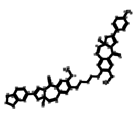 COc1cc2c(cc1OCCCOc1cc3c(cc1OC)C(=O)N1C=C(c4ccc5c(c4)OCO5)C[C@H]1C=N3)N=C[C@@H]1CC(c3ccc(C)cc3)=CN1C2=O